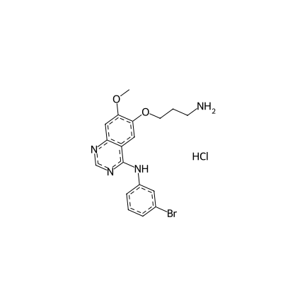 COc1cc2ncnc(Nc3cccc(Br)c3)c2cc1OCCCN.Cl